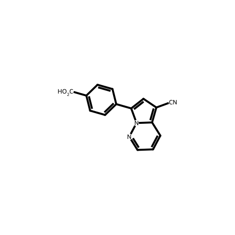 N#Cc1cc(-c2ccc(C(=O)O)cc2)n2ncccc12